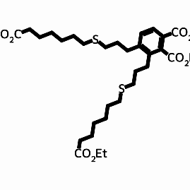 CCOC(=O)CCCCCCSCCCc1ccc(C(=O)O)c(C(=O)O)c1CCCSCCCCCCC(=O)OCC